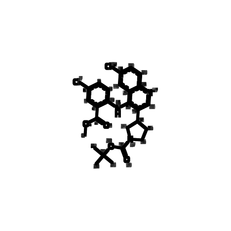 COC(=O)c1cc(Cl)ccc1Nc1c(C2CCN(C(=O)OC(C)(C)C)C2)cnc2ccc(Cl)cc12